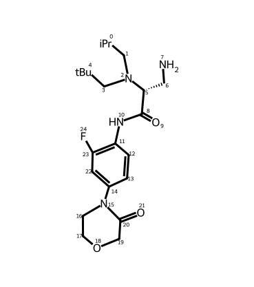 CC(C)CN(CC(C)(C)C)[C@H](CN)C(=O)Nc1ccc(N2CCOCC2=O)cc1F